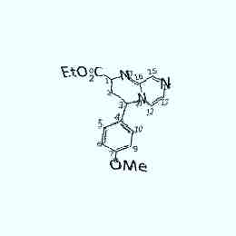 CCOC(=O)C1CC(c2ccc(OC)cc2)N2C=CN=CC2=N1